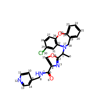 CC(c1nc(C(=O)NCc2ccncc2)co1)N1Cc2ccccc2Oc2ccc(Cl)cc21